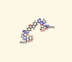 COC(=O)N[C@H](C(=O)N1CCC[C@@H]1c1ncc(-c2ccc3c(c2)COc2c-3ccc3cc(-c4cnc([C@@H]5CCCN5C(=O)[C@@H](NC(=O)OC)C5CCOCC5)[nH]4)ccc23)[nH]1)C1CCOCC1